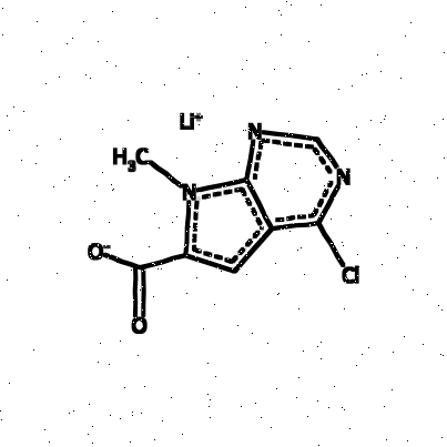 Cn1c(C(=O)[O-])cc2c(Cl)ncnc21.[Li+]